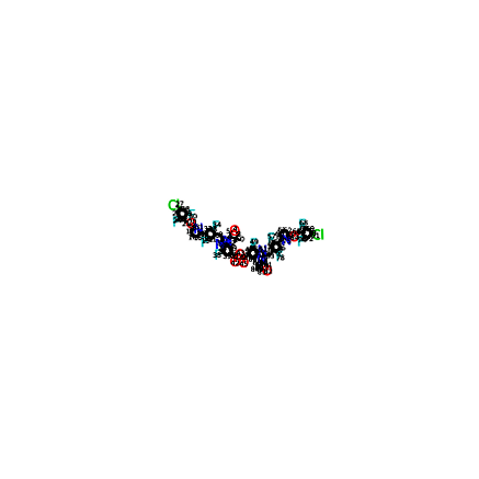 CC1(C)COCC1n1c(Cc2cc(F)c(-c3cccc(OCc4c(F)cc(Cl)cc4F)n3)cc2F)nc2c(F)cc(C(=O)OC(=O)c3cc(F)c4nc(Cc5cc(F)c(-c6cccc(OCc7c(F)cc(Cl)cc7F)n6)cc5F)n(C5COCC5(C)C)c4c3)cc21